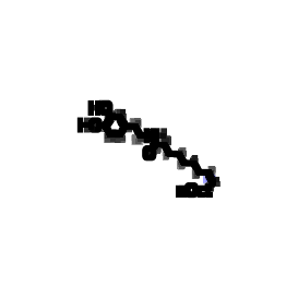 CCCCCCCC/C=C\CCCCCCC(=O)NCCc1ccc(O)c(O)c1